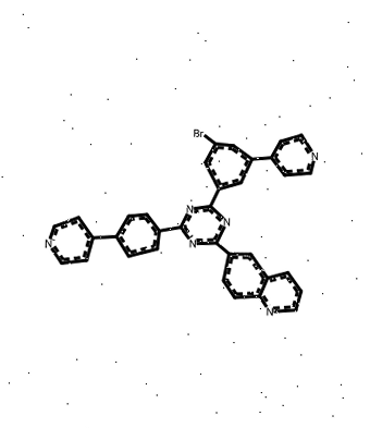 Brc1cc(-c2ccncc2)cc(-c2nc(-c3ccc(-c4ccncc4)cc3)nc(-c3ccc4ncccc4c3)n2)c1